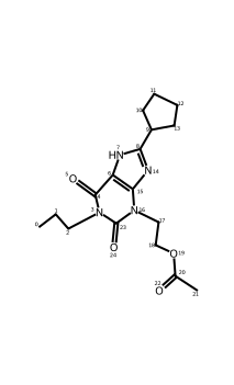 CCCn1c(=O)c2[nH]c(C3CCCC3)nc2n(CCOC(C)=O)c1=O